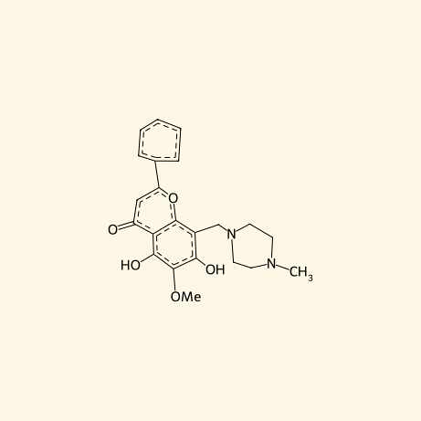 COc1c(O)c(CN2CCN(C)CC2)c2oc(-c3ccccc3)cc(=O)c2c1O